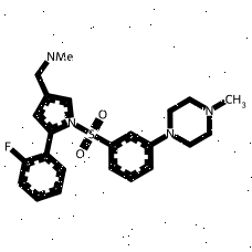 CNCc1cc(-c2ccccc2F)n(S(=O)(=O)c2cccc(N3CCN(C)CC3)c2)c1